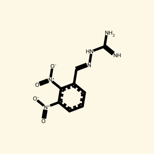 N=C(N)NN=Cc1cccc([N+](=O)[O-])c1[N+](=O)[O-]